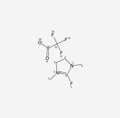 CN1CC[N+](C)=C1F.O=C([O-])C(F)(F)F